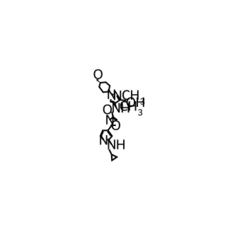 CC(C)(O)c1nn([C@H]2CC[C@H](C=O)CC2)cc1NC(=O)c1coc(-c2ccnc(NCC3CC3)c2)n1